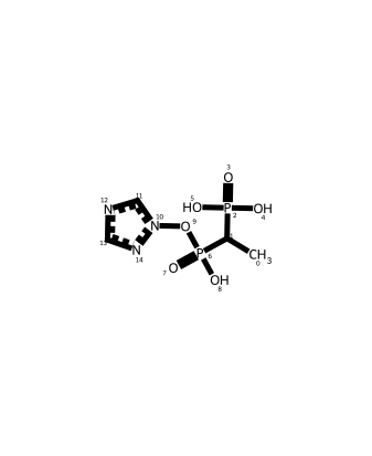 CC(P(=O)(O)O)P(=O)(O)On1cncn1